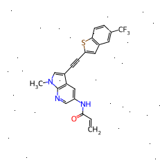 C=CC(=O)Nc1cnc2c(c1)c(C#Cc1cc3cc(C(F)(F)F)ccc3s1)cn2C